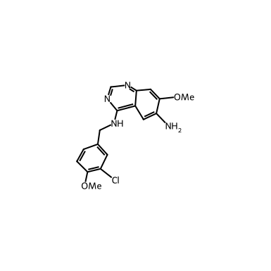 COc1cc2ncnc(NCc3ccc(OC)c(Cl)c3)c2cc1N